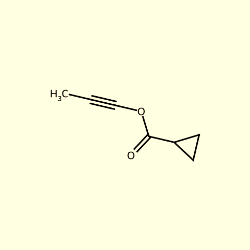 CC#COC(=O)C1CC1